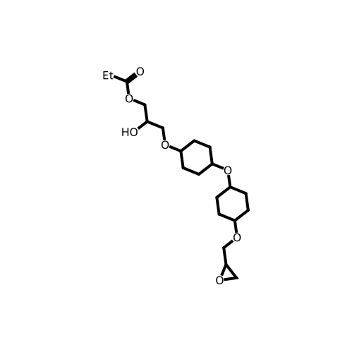 CCC(=O)OCC(O)COC1CCC(OC2CCC(OCC3CO3)CC2)CC1